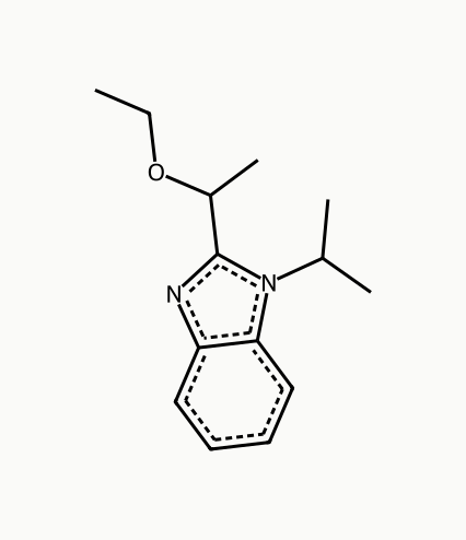 CCOC(C)c1nc2ccccc2n1C(C)C